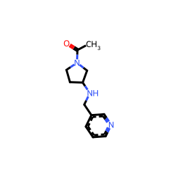 CC(=O)N1CCC(NCc2cccnc2)C1